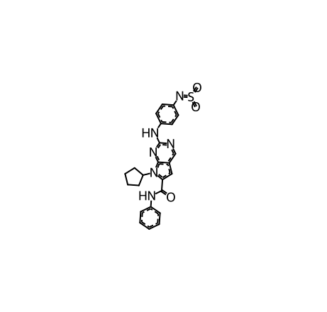 O=C(Nc1ccccc1)c1cc2cnc(Nc3ccc(N=S(=O)=O)cc3)nc2n1C1CCCC1